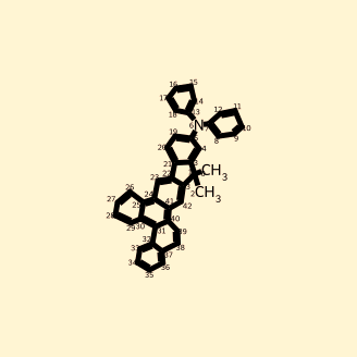 CC1(C)c2cc(N(c3ccccc3)c3ccccc3)ccc2-c2cc3c4ccccc4c4c5ccccc5ccc4c3cc21